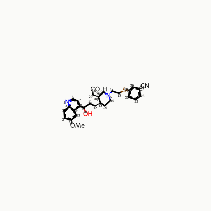 COc1ccc2nccc([C@H](O)CC[C@@H]3CCN(CCSc4cccc(C#N)c4)C[C@@H]3CC(=O)O)c2c1